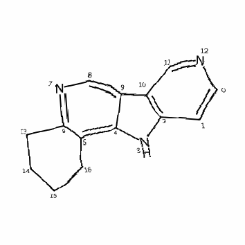 c1cc2[nH]c3c4c(ncc3c2cn1)CCCC4